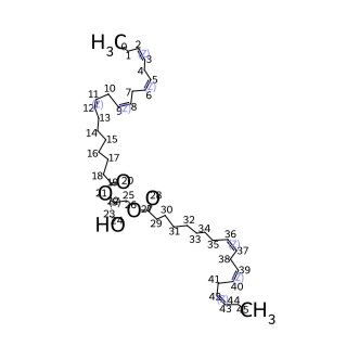 CC/C=C\C/C=C\C/C=C\C/C=C\CCCCCCC(=O)O[C@@H](CO)COC(=O)CCCCCCC/C=C\C/C=C\C/C=C\CC